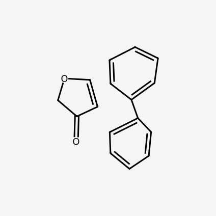 O=C1C=COC1.c1ccc(-c2ccccc2)cc1